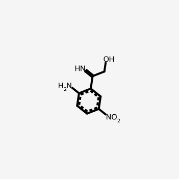 N=C(CO)c1cc([N+](=O)[O-])ccc1N